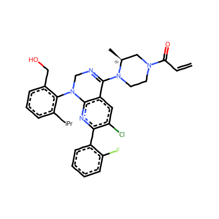 C=CC(=O)N1CCN(C2=NCN(c3c(CO)cccc3C(C)C)c3nc(-c4ccccc4F)c(Cl)cc32)[C@@H](C)C1